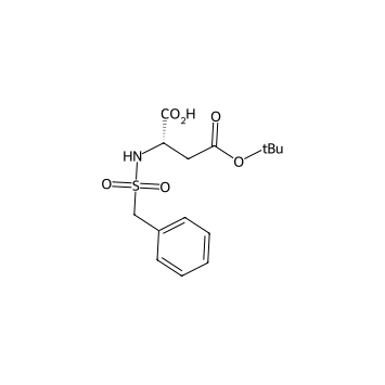 CC(C)(C)OC(=O)C[C@H](NS(=O)(=O)Cc1ccccc1)C(=O)O